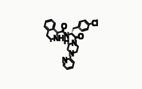 O=C(N[C@H](Cc1ccc(Cl)cc1)C(=O)N1CCN(c2ccccn2)CC1)C1N[CH]Cc2ccccc21